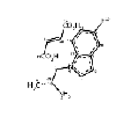 C[C@@H](N)Cn1ccc2cc(F)ccc21.O=C(O)C=CC(=O)O